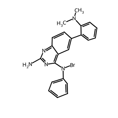 CN(C)c1ccccc1-c1ccc2nc(N)nc(N(Br)c3ccccc3)c2c1